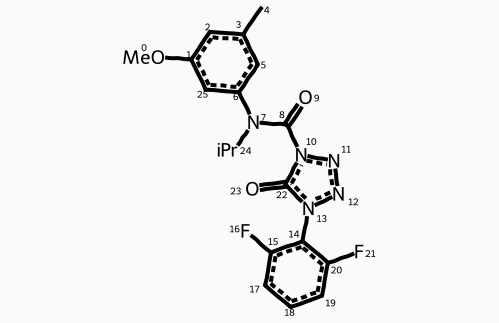 COc1cc(C)cc(N(C(=O)n2nnn(-c3c(F)cccc3F)c2=O)C(C)C)c1